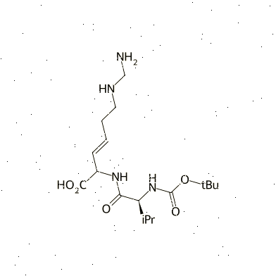 CC(C)[C@H](NC(=O)OC(C)(C)C)C(=O)NC(/C=C/CCNCN)C(=O)O